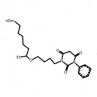 CCCCCCCCCCCCCCCC(CC)OCCCCN1C(=O)CC(=O)N(c2ccccc2)C1=O